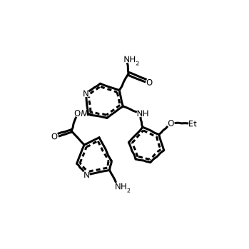 CCOc1ccccc1Nc1ccncc1C(N)=O.COC(=O)c1ccc(N)nc1